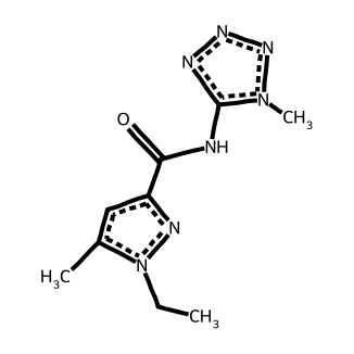 CCn1nc(C(=O)Nc2nnnn2C)cc1C